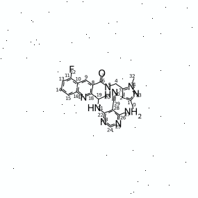 Cc1cc(CNC(=O)c2cc3c(F)cccc3nc2C(C)Nc2ncnc(N)c2C#N)n(C)n1